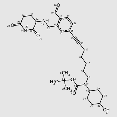 CC(C)(C)OC(=O)N(CCCCCC#Cc1ccc(C=O)c(CNC2CCC(=O)NC2=O)c1)C1CCC(O)CC1